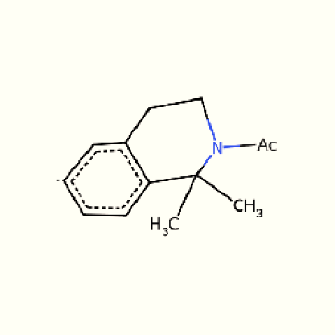 CC(=O)N1CCc2c[c]ccc2C1(C)C